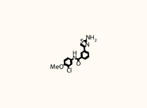 COc1ccc(NC(=O)c2cccc(-c3csc(N)n3)c2)cc1Cl